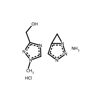 Cl.Cn1cnc(CO)n1.N.c1nnn2c1C2